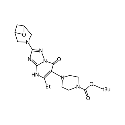 CCc1[nH]c2nc(N3CC4CC(C3)O4)nn2c(=O)c1N1CCN(C(=O)OC(C)(C)C)CC1